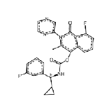 Cc1c(OC(=O)N[C@H](c2cccc(F)c2)C2CC2)c2cccc(F)c2c(=O)n1-c1cnccn1